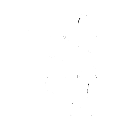 COc1ncnc(OC)c1-n1c(NS(=O)(=O)[C@@H](C)[C@H](C)c2ccc(Cl)cn2)nnc1[C@@H]1CCOC1